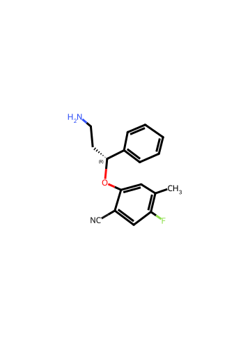 Cc1cc(O[C@H](CCN)c2ccccc2)c(C#N)cc1F